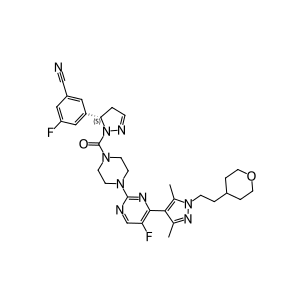 Cc1nn(CCC2CCOCC2)c(C)c1-c1nc(N2CCN(C(=O)N3N=CC[C@H]3c3cc(F)cc(C#N)c3)CC2)ncc1F